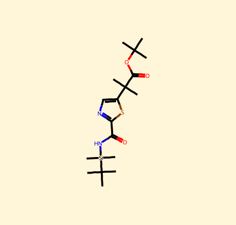 CC(C)(C)OC(=O)C(C)(C)c1cnc(C(=O)N[Si](C)(C)C(C)(C)C)s1